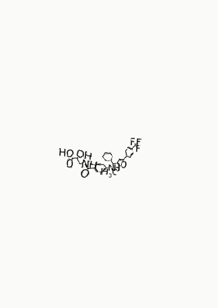 CCc1oc(-c2ccc(C(F)(F)F)cc2)cc1C(Nc1ccc(C(=O)NCC(O)C(=O)O)cc1)C1CCCCC1